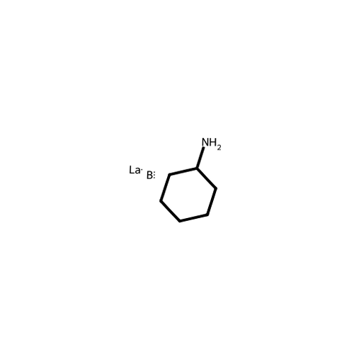 NC1CCCCC1.[B].[La]